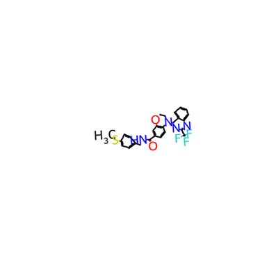 CSc1ccc(CNC(=O)c2ccc3c(c2)OCCN3c2nc(C(F)(F)F)nc3ccccc23)cc1